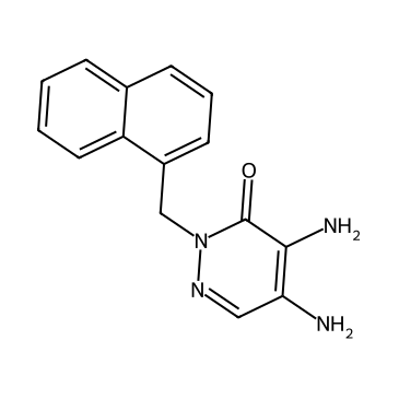 Nc1cnn(Cc2cccc3ccccc23)c(=O)c1N